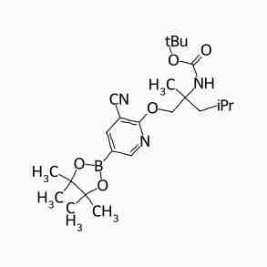 CC(C)CC(C)(COc1ncc(B2OC(C)(C)C(C)(C)O2)cc1C#N)NC(=O)OC(C)(C)C